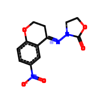 O=C1OCCN1/N=C1\CCOc2ccc([N+](=O)[O-])cc21